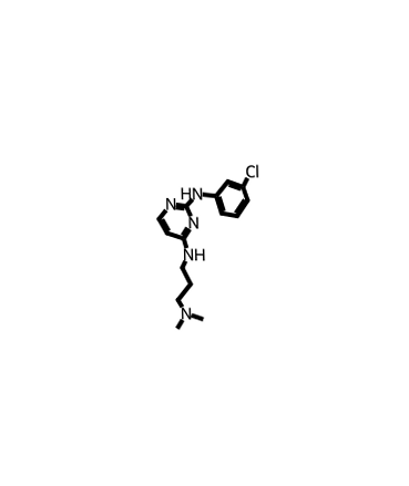 CN(C)CCCNc1ccnc(Nc2cccc(Cl)c2)n1